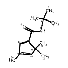 CC(C)(C)NC(=O)C1CC(O)=CC1(C)C